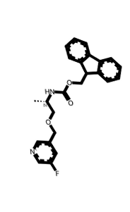 C[C@@H](COCc1cncc(F)c1)NC(=O)OCC1c2ccccc2-c2ccccc21